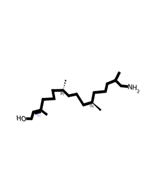 C/C(=C\CO)CCC[C@H](C)CCC[C@H](C)CCCC(C)CN